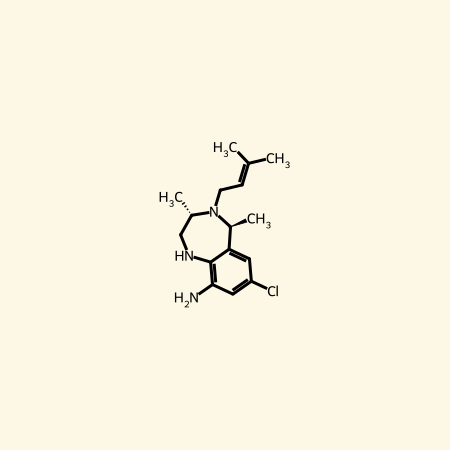 CC(C)=CCN1[C@@H](C)CNc2c(N)cc(Cl)cc2[C@@H]1C